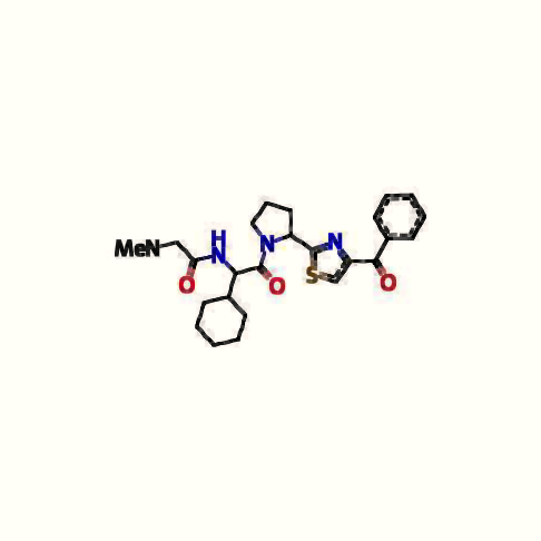 CNCC(=O)NC(C(=O)N1CCCC1c1nc(C(=O)c2ccccc2)cs1)C1CCCCC1